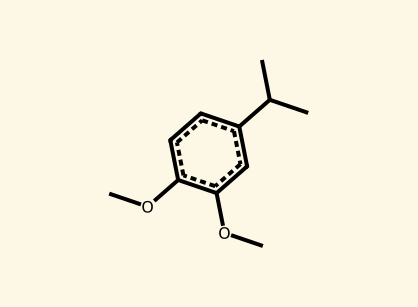 COc1ccc(C(C)C)cc1OC